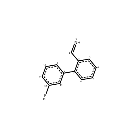 N=Cc1ccccc1-c1cccc(F)c1